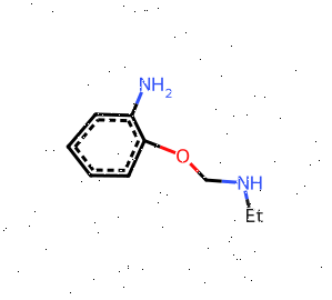 CCNCOc1ccccc1N